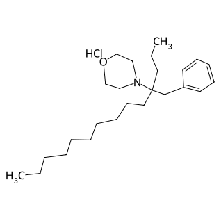 CCCCCCCCCCC(CCC)(Cc1ccccc1)N1CCOCC1.Cl